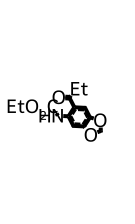 CCOC(=O)Nc1cc2c(cc1C(=O)CC)OCO2